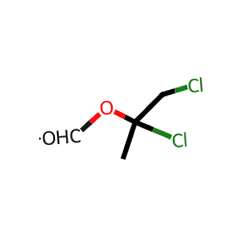 CC(Cl)(CCl)O[C]=O